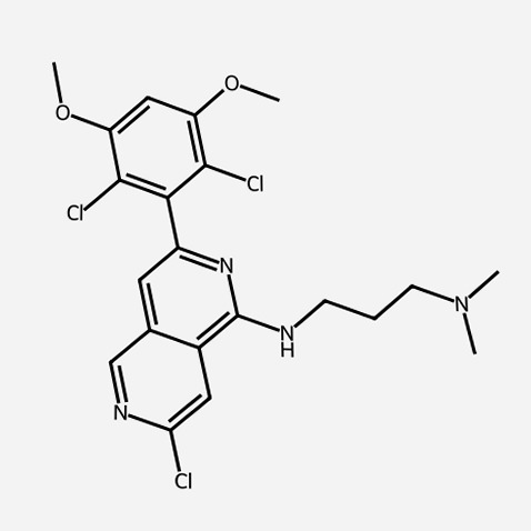 COc1cc(OC)c(Cl)c(-c2cc3cnc(Cl)cc3c(NCCCN(C)C)n2)c1Cl